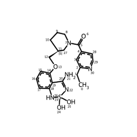 CCc1cc(C(=O)N2CCC[C@H](COc3cccc4c3C(N)=NS(O)(O)N4)C2)ccn1